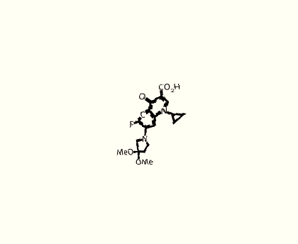 COC1(OC)CCN(c2cc3c(cc2F)c(=O)c(C(=O)O)cn3C2CC2)C1